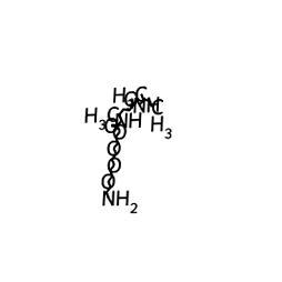 CCCC(C)NC(=O)CCC(C)NC(=O)OCCOCCOCCOCCN